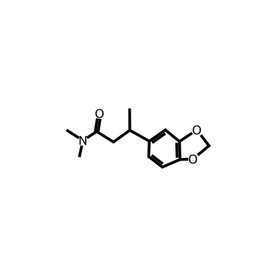 CC(CC(=O)N(C)C)c1ccc2c(c1)OCO2